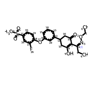 CCO/N=C(/CC)C1=C(O)CC(c2cccc(Oc3ccc(S(C)(=O)=O)cc3F)c2)CC1=O